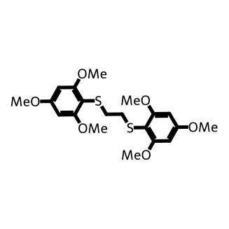 COc1cc(OC)c(SCCSc2c(OC)cc(OC)cc2OC)c(OC)c1